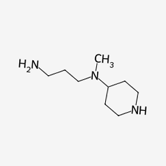 CN(CCCN)C1CCNCC1